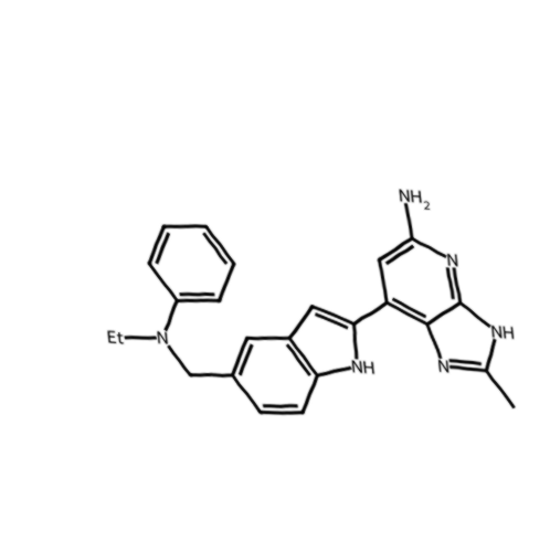 CCN(Cc1ccc2[nH]c(-c3cc(N)nc4[nH]c(C)nc34)cc2c1)c1ccccc1